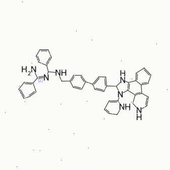 N/C(=N\C(NCc1ccc(-c2ccc(C3Nc4c(c5c(c6ccccc46)C=CNC5)N3C3=CC=CCN3)cc2)cc1)c1ccccc1)c1ccccc1